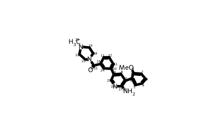 COc1ccccc1-c1cc(-c2cccc(C(=O)N3CCN(C)CC3)c2)cnc1N